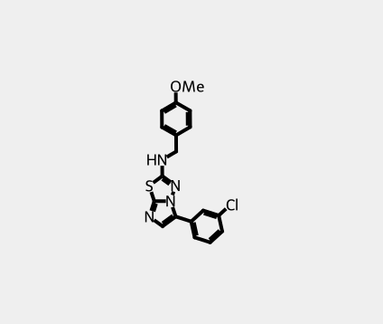 COc1ccc(CNc2nn3c(-c4cccc(Cl)c4)cnc3s2)cc1